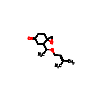 CC(C)=CCOC(C)C1CC(=O)CCC12CO2